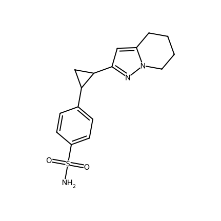 NS(=O)(=O)c1ccc(C2CC2c2cc3n(n2)CCCC3)cc1